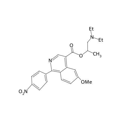 CCN(CC)CC(C)OC(=O)c1cnc(-c2ccc([N+](=O)[O-])cc2)c2ccc(OC)cc12